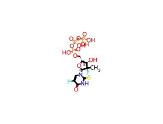 CC1(F)[C@@H](O)[C@@H](COP(=O)(O)OP(=O)(O)OP(=O)(O)O)O[C@H]1n1cc(F)c(=O)[nH]c1=S